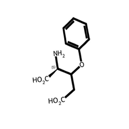 N[C@H](C(=O)O)C(CC(=O)O)Oc1ccccc1